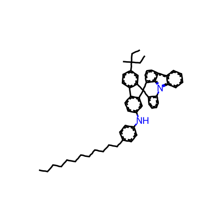 CCCCCCCCCCCCc1ccc(Nc2ccc3c(c2)C2(c4cc(C(C)(CC)CC)ccc4-3)c3ccccc3-n3c4ccccc4c4cccc2c43)cc1